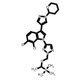 CC(OCn1ncc(-n2cc(-c3cnn(C4CCCCO4)c3)c3ccc(Cl)c(Cl)c32)n1)[Si](C)(C)C